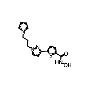 O=C(NO)c1ccc(-c2ccn(CCCn3cccc3)n2)s1